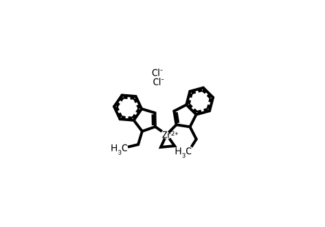 CCC1[C]([Zr+2]2([C]3=Cc4ccccc4C3CC)[CH2][CH2]2)=Cc2ccccc21.[Cl-].[Cl-]